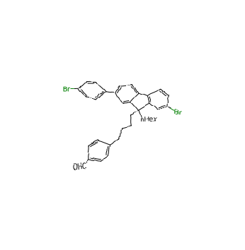 CCCCCCC1(CCCCc2ccc(C=O)cc2)c2cc(Br)ccc2-c2ccc(-c3ccc(Br)cc3)cc21